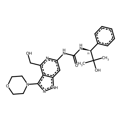 CC(C)(O)[C@@H](NC(=O)Nc1cc2[nH]nc(N3CCOCC3)c2c(CO)n1)c1ccccc1